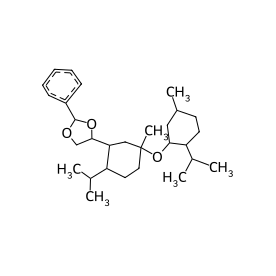 CC1CCC(C(C)C)C(OC2(C)CCC(C(C)C)C(C3COC(c4ccccc4)O3)C2)C1